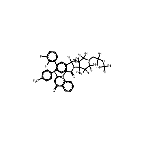 [2H]C([2H])([2H])OC([2H])([2H])CN1C([2H])([2H])C([2H])([2H])C([2H])(N(C(=O)Cn2c(SCc3cccc(F)c3F)cc(=O)c3ccccc32)C([2H])(C)c2ccc(-c3ccc(C(F)(F)F)cc3)cc2)C([2H])([2H])C1([2H])[2H]